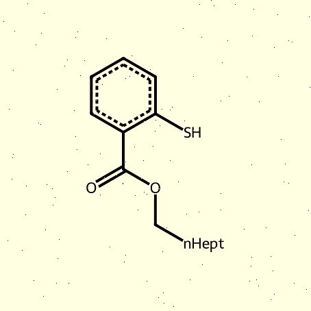 CCCCCCCCOC(=O)c1ccccc1S